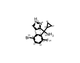 NC(c1cc[nH]n1)(c1cc(Br)ccc1F)C1CC1